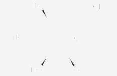 OC[C@@H]1O[C@@H](O)[C@@H](O)[C@H](O)[C@H]1O